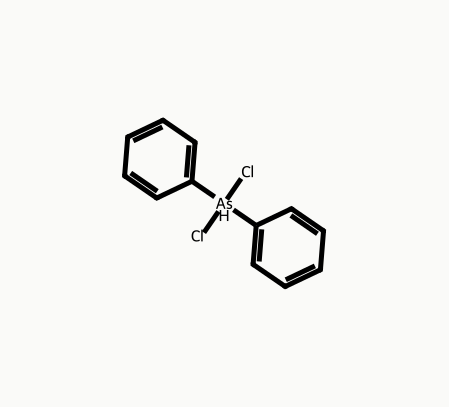 Cl[AsH](Cl)(c1ccccc1)c1ccccc1